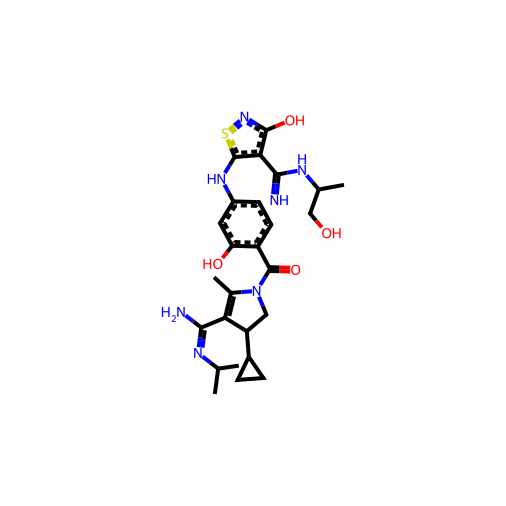 CC1=C(/C(N)=N\C(C)C)C(C2CC2)CN1C(=O)c1ccc(Nc2snc(O)c2C(=N)NC(C)CO)cc1O